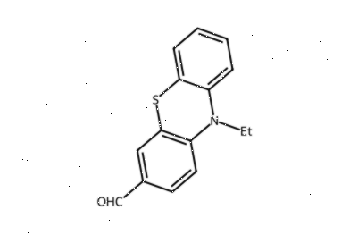 CCN1c2ccccc2Sc2cc(C=O)ccc21